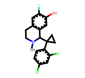 CN1CCc2cc(F)c(O)cc2C1C1(c2ccc(Cl)cc2Cl)CC1